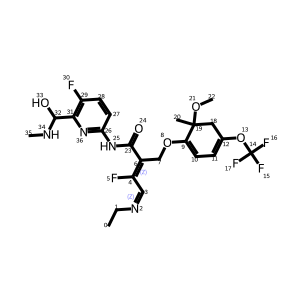 CC/N=C\C(F)=C(/COC1=CC=C(OC(F)(F)F)CC1(C)OC)C(=O)Nc1ccc(F)c(C(O)NC)n1